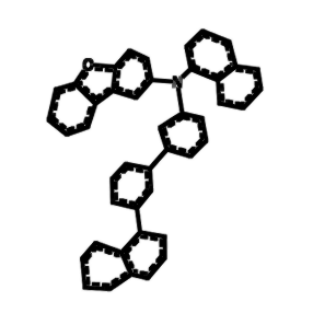 c1cc(-c2cccc(N(c3ccc4oc5ccccc5c4c3)c3cccc4ccccc34)c2)cc(-c2cccc3ccccc23)c1